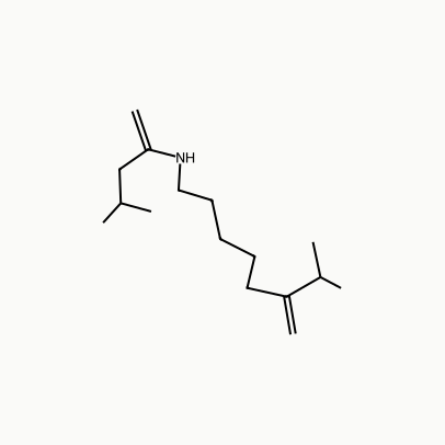 C=C(CC(C)C)NCCCCCC(=C)C(C)C